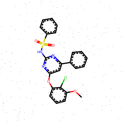 COc1cccc(Oc2cc(-c3ccccc3)nc(NS(=O)(=O)c3ccccc3)n2)c1Cl